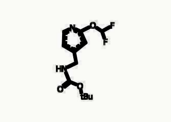 CC(C)(C)OC(=O)NCc1ccnc(OC(F)F)c1